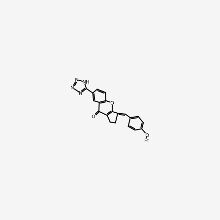 CCOc1ccc(/C=C2\CCc3c2oc2ccc(-c4nnn[nH]4)cc2c3=O)cc1